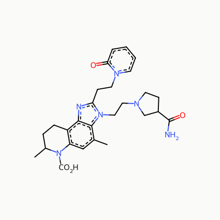 Cc1cc2c(c3nc(CCn4ccccc4=O)n(CCN4CCC(C(N)=O)C4)c13)CCC(C)N2C(=O)O